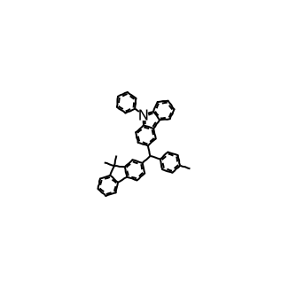 Cc1ccc(C(c2ccc3c(c2)C(C)(C)c2ccccc2-3)c2ccc3c(c2)c2ccccc2n3-c2ccccc2)cc1